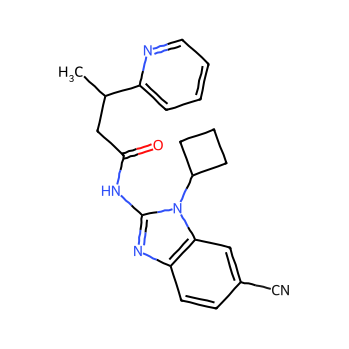 CC(CC(=O)Nc1nc2ccc(C#N)cc2n1C1CCC1)c1ccccn1